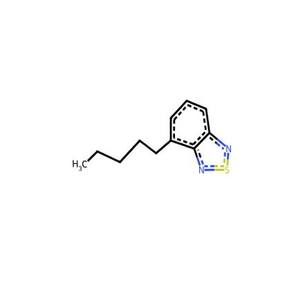 CCCCCc1cccc2nsnc12